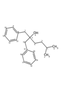 CC(C)C[CH]C(O)(Cc1ccccc1)Cc1ccccc1